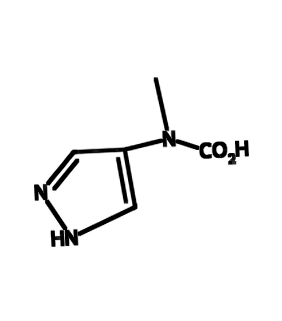 CN(C(=O)O)c1cn[nH]c1